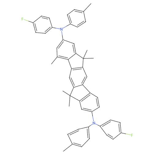 Cc1ccc(N(c2ccc(F)cc2)c2ccc3c(c2)C(C)(C)c2cc4c(cc2-3)C(C)(C)c2cc(N(c3ccc(C)cc3)c3ccc(F)cc3)cc(C)c2-4)cc1